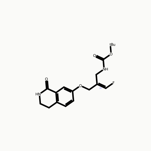 CC(C)(C)OC(=O)NC/C(=C\F)COc1ccc2c(c1)C(=O)NCC2